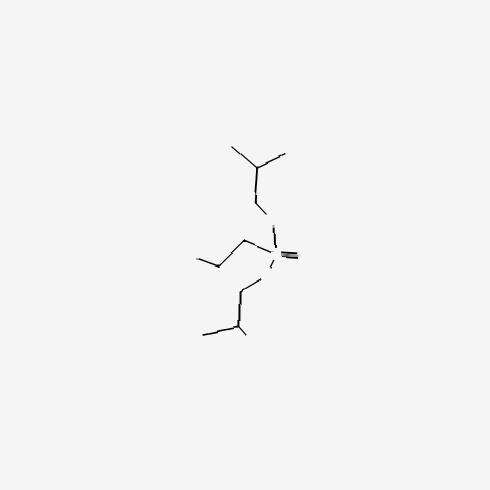 CC(Cl)COP(=O)(CCCl)OCC(C)Cl